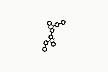 c1ccc(-c2ccc(N3c4ccccc4Sc4cc(-c5ccc6c(c5)Sc5ccccc5N6c5cccc(-c6ccccc6)c5)ccc43)cc2)cc1